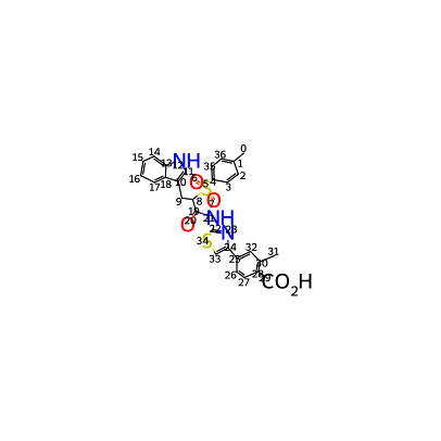 Cc1ccc(S(=O)(=O)C(Cc2c[nH]c3ccccc23)C(=O)Nc2nc(-c3ccc(C(=O)O)c(C)c3)cs2)cc1